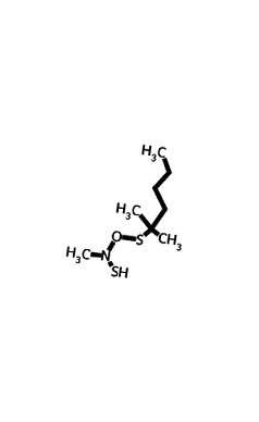 CCCCC(C)(C)SON(C)S